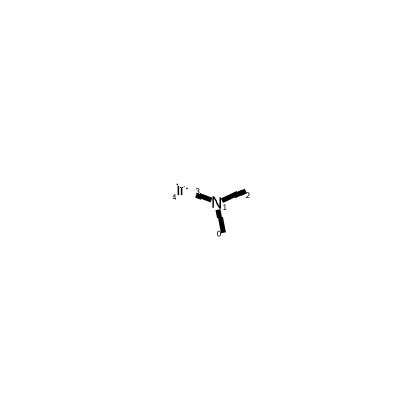 CN(C)C.[Ir]